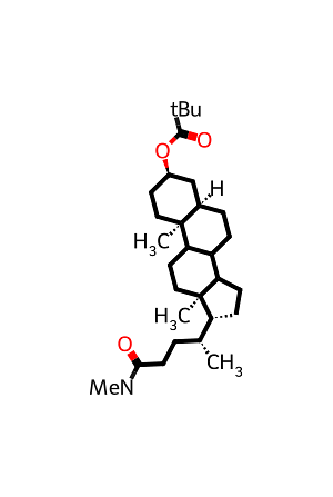 CNC(=O)CC[C@@H](C)[C@H]1CCC2C3CC[C@@H]4C[C@H](OC(=O)C(C)(C)C)CC[C@]4(C)C3CC[C@@]21C